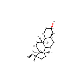 C=C[C@@]1(C)CC[C@H]2C3CCC4=CC(=O)CC[C@]4(C)[C@H]3CC[C@@]21C